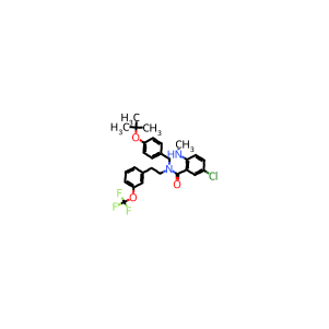 CNc1ccc(Cl)cc1C(=O)N(CCc1cccc(OC(F)(F)F)c1)Cc1ccc(OC(C)(C)C)cc1